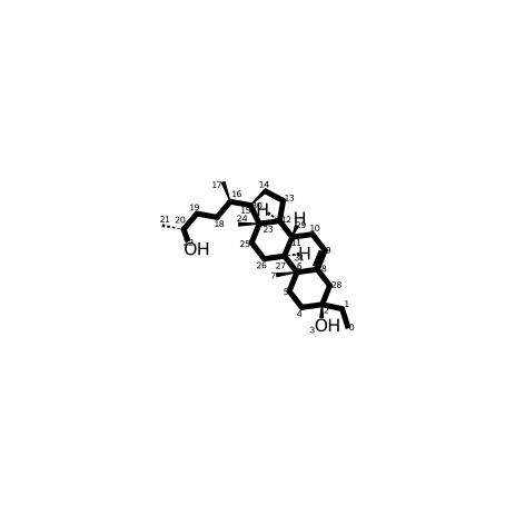 CC[C@]1(O)CC[C@@]2(C)C(=CC[C@H]3[C@@H]4CC[C@H]([C@H](C)CC[C@@H](C)O)[C@@]4(C)CC[C@@H]32)C1